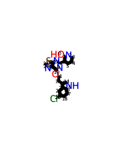 Oc1ncccc1-c1nc(OCCc2c[nH]c3ccc(Cl)cc23)c2ncsc2n1